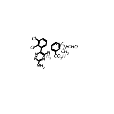 CN(C)C=O.Nc1nnc(-c2cccc(Cl)c2Cl)c(N)n1.O=C(O)c1ccccc1